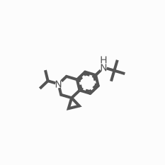 CC(C)N1Cc2cc(NC(C)(C)C)ccc2C2(CC2)C1